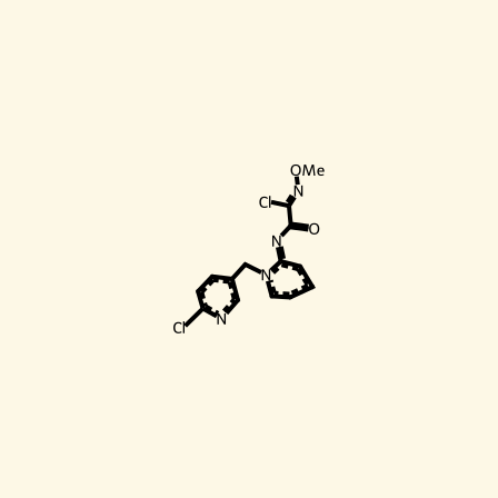 CON=C(Cl)C(=O)N=c1ccccn1Cc1ccc(Cl)nc1